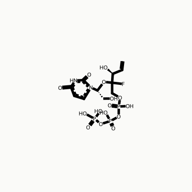 C=C[C@H](O)C(F)(COP(=O)(O)OP(=O)(O)OP(=O)(O)O)O[C@H](CO)n1ccc(=O)[nH]c1=O